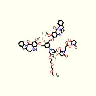 COCCOCCOCCN(CC(C)(C)SC1CC(=O)N(CCC(=O)ON2C(=O)CCC2=O)C1=O)c1cc(COc2cc3c(cc2OC)C(=O)N2c4ccccc4C[C@H]2C=N3)cc(COc2cc3c(cc2OC)C(=O)N2c4ccccc4CC2CCN3)c1